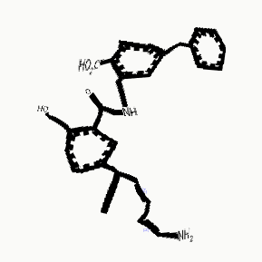 C=C(/C=C\C=C/N)c1ccc(O)c(C(=O)Nc2cc(-c3ccccc3)ccc2C(=O)O)c1